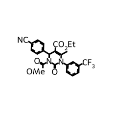 CCOC(=O)C1=C(C)N(c2cccc(C(F)(F)F)c2)C(=O)N(C(=O)OC)C1c1ccc(C#N)cc1